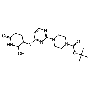 CC(C)(C)OC(=O)N1CCN(c2nccc(NC3CCC(=O)NC3O)n2)CC1